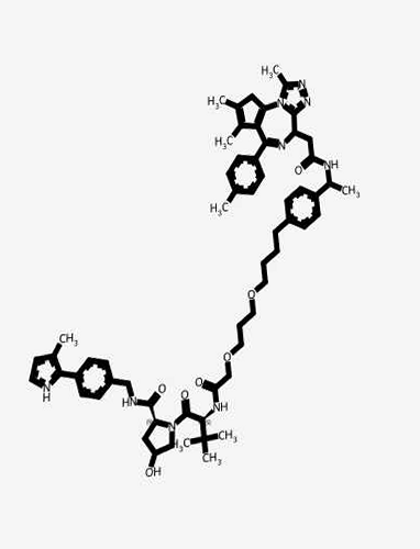 CC1=C(C)C2=C(C1)n1c(C)nnc1C(CC(=O)NC(C)c1ccc(CCCCOCCCOCC(=O)N[C@H](C(=O)N3CC(O)C[C@H]3C(=O)NCc3ccc(-c4[nH]ccc4C)cc3)C(C)(C)C)cc1)N=C2c1ccc(C)cc1